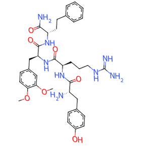 COc1ccc(C[C@H](NC(=O)[C@@H](CCCNC(=N)N)NC(=O)[C@@H](N)Cc2ccc(O)cc2)C(=O)N[C@@H](CCc2ccccc2)C(N)=O)cc1OC